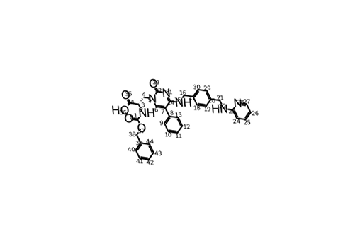 O=C(N[C@@H](Cn1cc(-c2ccccc2)c(NCc2ccc(CNc3ccccn3)cc2)nc1=O)C(=O)O)OCc1ccccc1